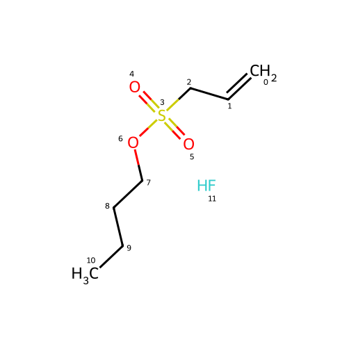 C=CCS(=O)(=O)OCCCC.F